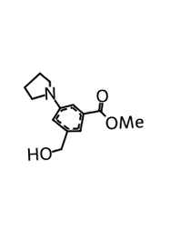 COC(=O)c1cc(CO)cc(N2CCCC2)c1